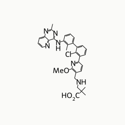 COc1nc(-c2cccc(-c3cccc(Nc4nc(C)nc5cccnc45)c3C)c2Cl)ccc1CNCC(C)(C)C(=O)O